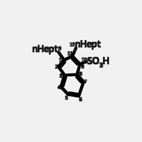 CCCCCCCc1cc2ccccc2c(S(=O)(=O)O)c1CCCCCCC